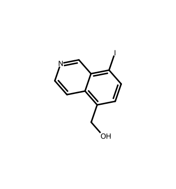 OCc1ccc(I)c2cnccc12